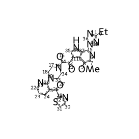 CCc1ncn(-c2ncc(OC)c3c(C(=O)C(=O)N4CCN(c5ncccc5C(=O)c5nccs5)CC4)c[nH]c23)n1